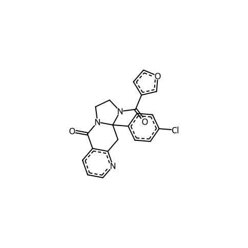 O=C(c1ccoc1)N1CCN2C(=O)c3cccnc3CC12c1ccc(Cl)cc1